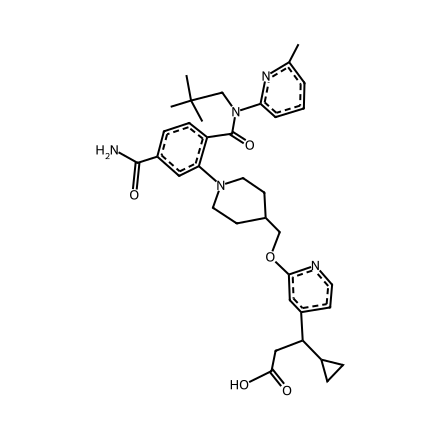 Cc1cccc(N(CC(C)(C)C)C(=O)c2ccc(C(N)=O)cc2N2CCC(COc3cc(C(CC(=O)O)C4CC4)ccn3)CC2)n1